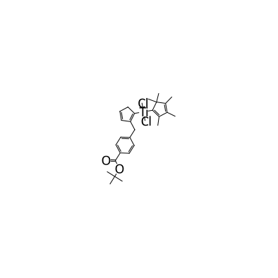 CC1=C(C)C(C)(C)[C]([Ti]([Cl])([Cl])[C]2=C(Cc3ccc(C(=O)OC(C)(C)C)cc3)C=CC2)=C1C